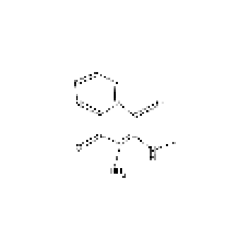 BC1=C(NC)C(=O)c2cccnc2C1=O